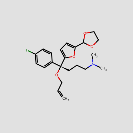 C=CCO[C@](CCCN(C)C)(c1ccc(F)cc1)c1ccc(C2OCCO2)o1